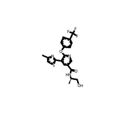 Cc1csc(-c2cc(C(=O)N[C@H](C)CO)cnc2Oc2ccc(C(F)(F)F)cc2)n1